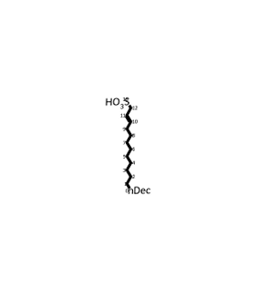 CCCCCCCCCCCCCCCCCCCC=CCS(=O)(=O)O